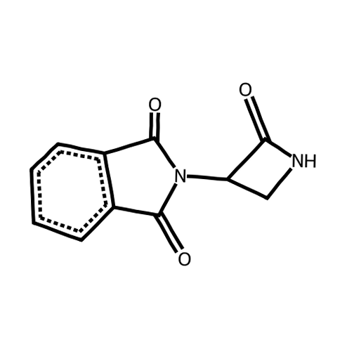 O=C1NCC1N1C(=O)c2ccccc2C1=O